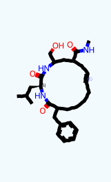 CNC(=O)C1C/C=C/CCCCC(Cc2ccccc2)C(=O)N[C@@H](CC(C)C)C(=O)NC(CO)C1